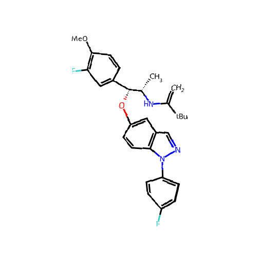 C=C(N[C@@H](C)[C@H](Oc1ccc2c(cnn2-c2ccc(F)cc2)c1)c1ccc(OC)c(F)c1)C(C)(C)C